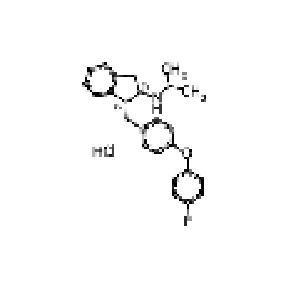 CC(C)N[C@@H]1Cc2ccccc2[C@@H]1Cc1ccc(Oc2ccc(F)cc2)cc1.Cl